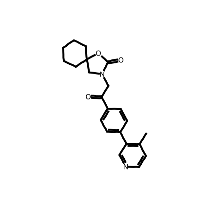 Cc1ccncc1-c1ccc(C(=O)CN2CC3(CCCCC3)OC2=O)cc1